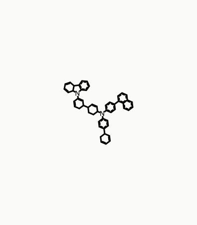 C1=CCC(c2ccc(N(c3ccc(-c4cccc5ccccc45)cc3)C3C=CC(C4C=C(N5c6ccccc6C6C=CC=CC65)C=CC4)CC3)cc2)C=C1